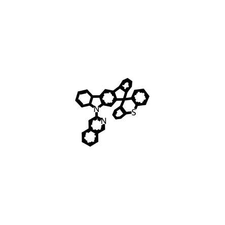 C1=CC2c3cc4c(cc3N(c3cc5ccccc5cn3)C2C=C1)C1(C2=C(CCC=C2)Sc2ccccc21)c1ccccc1-4